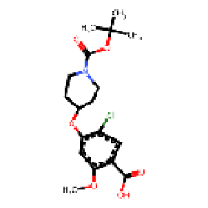 COc1cc(OC2CCN(C(=O)OC(C)(C)C)CC2)c(Cl)cc1C(=O)O